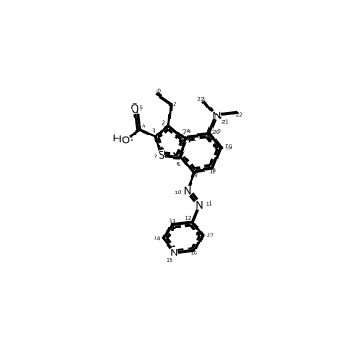 CCc1c(C(=O)O)sc2c(/N=N/c3ccncc3)ccc(N(C)C)c12